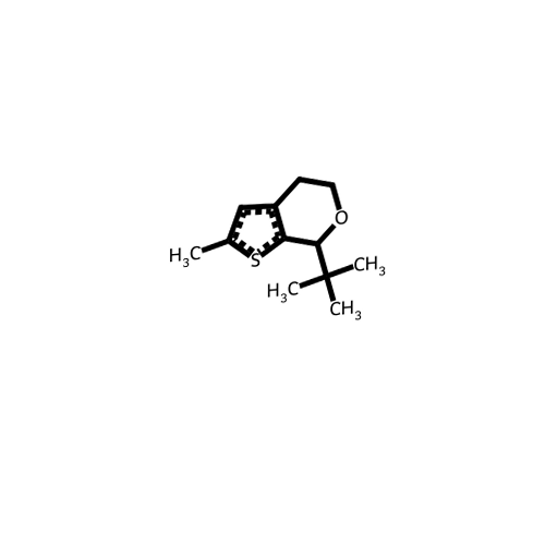 Cc1cc2c(s1)C(C(C)(C)C)OCC2